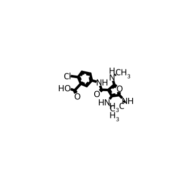 CNc1oc(NC)c(C(=O)Nc2ccc(Cl)c(C(=O)O)c2)c1NC